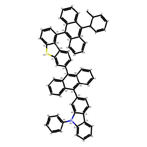 CC1C=CC=CC1c1c2ccccc2c(-c2cccc3sc4cc(-c5c6ccccc6c(-c6ccc7c8ccccc8n(-c8ccccc8)c7c6)c6ccccc56)ccc4c23)c2ccccc12